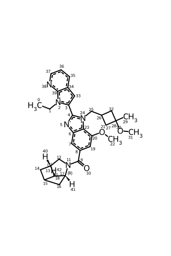 CCn1c(-c2nc3cc(C(=O)N4C[C@H]5CC6C[C@@H]4[C@H]65)cc(OC)c3n2CC2CC(C)(OC)C2)cc2cccnc21